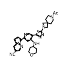 CC(=O)N1CCC2(CC1)CN(c1nnc(-c3cnc(-c4ccc5cc(C#N)cnn45)cc3NC3CCOCC3)s1)C2